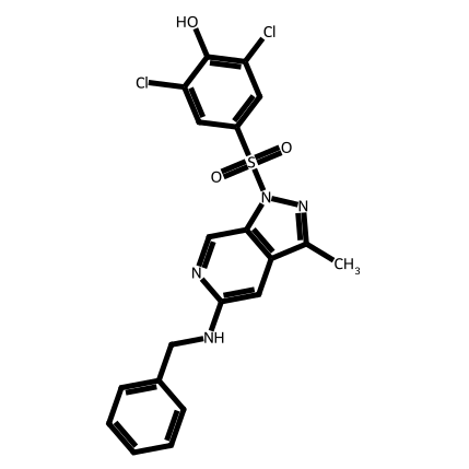 Cc1nn(S(=O)(=O)c2cc(Cl)c(O)c(Cl)c2)c2cnc(NCc3ccccc3)cc12